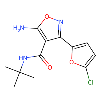 CC(C)(C)NC(=O)c1c(-c2ccc(Cl)o2)noc1N